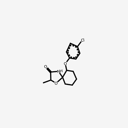 CC1OC2(CCCCC2Oc2ccc(Cl)cc2)NC1=O